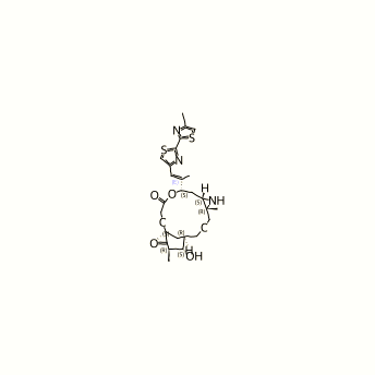 C/C(=C\c1csc(-c2nc(C)cs2)n1)[C@@H]1C[C@@H]2N[C@]2(C)CCC[C@@H]2C[C@](C)(CCC(=O)O1)C(=O)[C@H](C)[C@H]2O